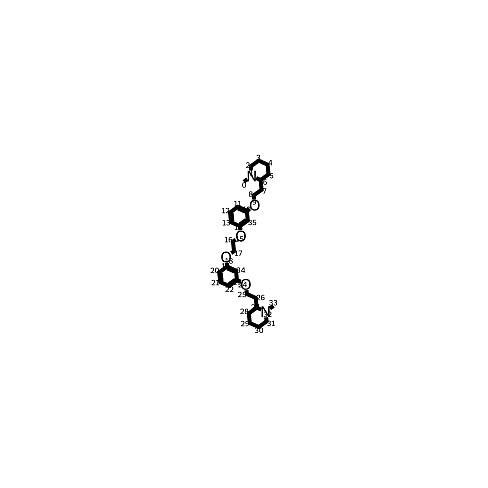 CN1CCCCC1CCOc1cccc(OCCOc2cccc(OCCC3CCCCN3C)c2)c1